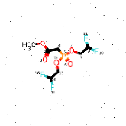 COC(=O)CP(=O)(OCC(F)F)OCC(F)F